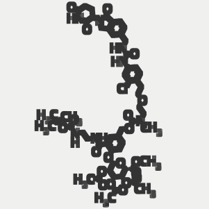 COC(=O)[C@H]1O[C@@H](Oc2ccc(COC(=O)N(C)CCOCCc3ccc(NC(=O)NCc4ccc5c(c4)CN(C4CCC(=O)NC4=O)C5=O)cc3Cl)cc2C(=O)NCCNC(=O)OC(C)(C)C)[C@H](OC(C)=O)[C@@H](OC(C)=O)[C@@H]1OC(C)=O